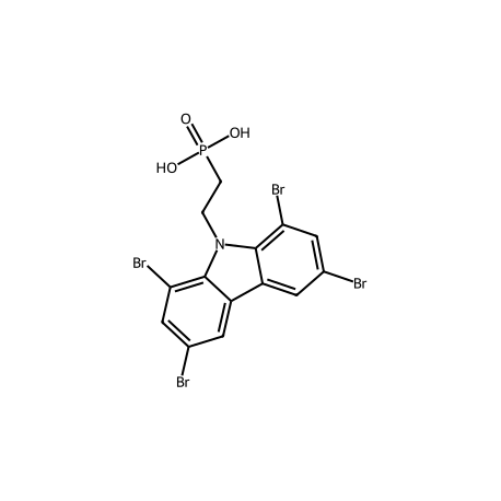 O=P(O)(O)CCn1c2c(Br)cc(Br)cc2c2cc(Br)cc(Br)c21